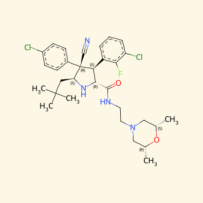 C[C@@H]1CN(CCNC(=O)[C@@H]2N[C@@H](CC(C)(C)C)[C@](C#N)(c3ccc(Cl)cc3)[C@H]2c2cccc(Cl)c2F)C[C@H](C)O1